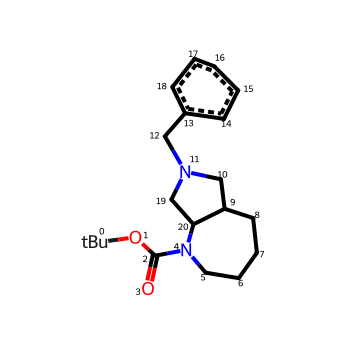 CC(C)(C)OC(=O)N1CCCCC2CN(Cc3ccccc3)CC21